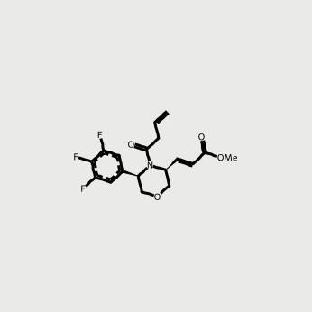 C=CCC(=O)N1[C@@H](C=CC(=O)OC)COC[C@H]1c1cc(F)c(F)c(F)c1